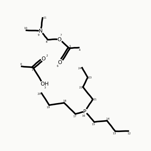 CC(=O)O.CC(=O)OCN(C)C.CCCCP(CCCC)CCCC